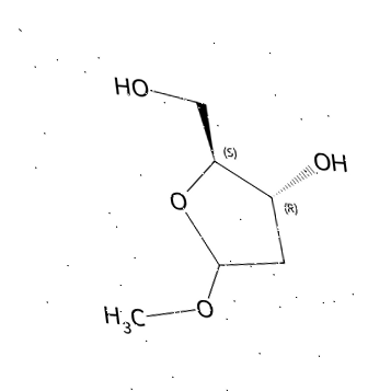 COC1C[C@@H](O)[C@H](CO)O1